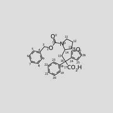 O=C(OCc1ccccc1)N1CCCC1CC(C(=O)O)(c1ccccc1)c1ccoc1